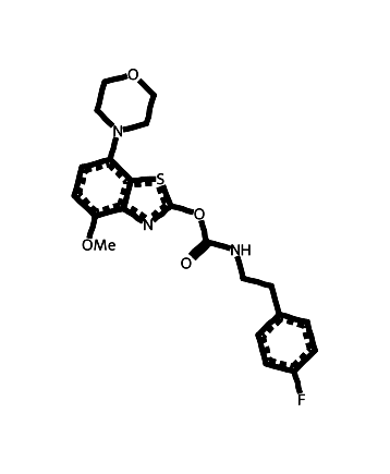 COc1ccc(N2CCOCC2)c2sc(OC(=O)NCCc3ccc(F)cc3)nc12